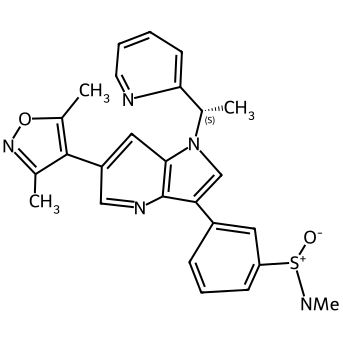 CN[S+]([O-])c1cccc(-c2cn([C@@H](C)c3ccccn3)c3cc(-c4c(C)noc4C)cnc23)c1